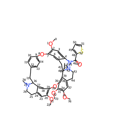 COc1cc2c3cc1Oc1ccc(cc1)CC1c4cc(c(OC)cc4CCN1C)Oc1c(OC)c(OC)cc4c1[C@H](C3)N(CC4)N2C(=O)c1cccs1